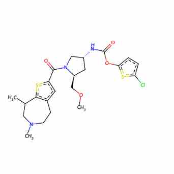 COC[C@@H]1C[C@@H](NC(=O)Oc2ccc(Cl)s2)CN1C(=O)c1cc2c(s1)C(C)CN(C)CC2